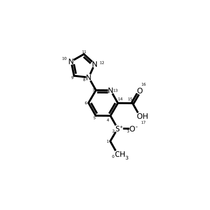 CC[S+]([O-])c1ccc(-n2cncn2)nc1C(=O)O